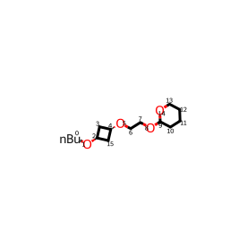 CCCCO[C@H]1C[C@H](OCCOC2CCCCO2)C1